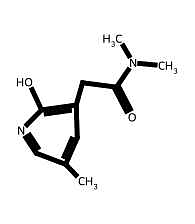 Cc1cnc(O)c(CC(=O)N(C)C)c1